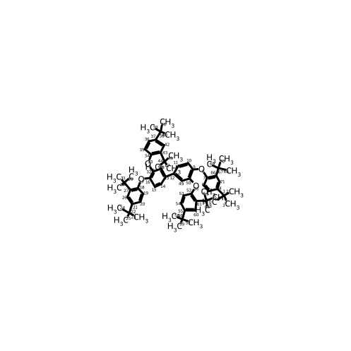 CC(C)(C)c1ccc(Oc2ccc(-c3ccc(Oc4ccc(C(C)(C)C)cc4C(C)(C)C)c(Oc4ccc(C(C)(C)C)cc4C(C)(C)C)c3)cc2Oc2ccc(C(C)(C)C)cc2C(C)(C)C)c(C(C)(C)C)c1